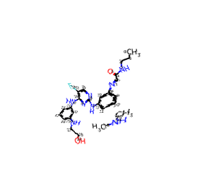 CCCNC(=O)C=Nc1cccc(Nc2ncc(F)c(Nc3cccc(NCCO)c3)n2)c1.CNC